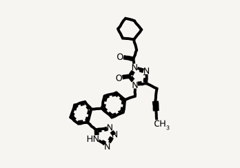 CC#CCc1nn(C(=O)CC2CCCCC2)c(=O)n1Cc1ccc(-c2ccccc2-c2nnn[nH]2)cc1